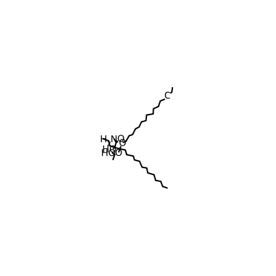 CCCCCCCCCCCCCCCCOC(CCCCCCCCCCCCC)(OC(C)O)C(O)(CCC)C(N)=O